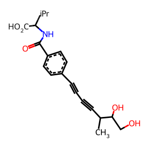 CC(C)C(NC(=O)c1ccc(C#CC#CC(C)C(O)CO)cc1)C(=O)O